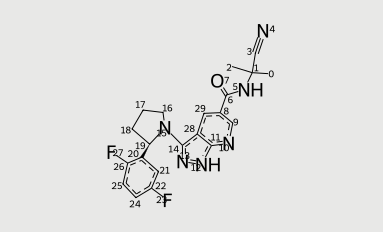 CC(C)(C#N)NC(=O)c1cnc2[nH]nc(N3CCC[C@@H]3c3cc(F)ccc3F)c2c1